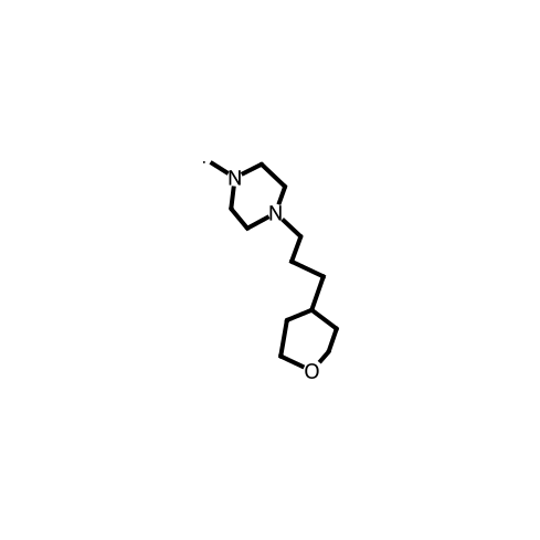 [CH2]N1CCN(CCCC2CCOCC2)CC1